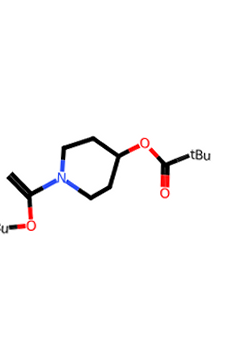 C=C(OC(C)(C)C)N1CCC(OC(=O)C(C)(C)C)CC1